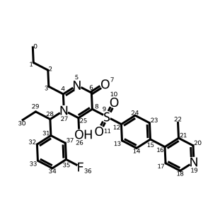 CCCCc1nc(=O)c(S(=O)(=O)c2ccc(-c3ccncc3C)cc2)c(O)n1C(CC)c1cccc(F)c1